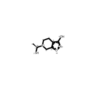 C[C@H](S)N1CCc2c(O)noc2C1